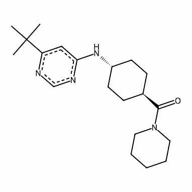 CC(C)(C)c1cc(N[C@H]2CC[C@H](C(=O)N3CCCCC3)CC2)ncn1